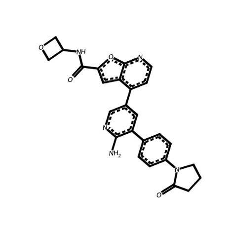 Nc1ncc(-c2ccnc3oc(C(=O)NC4COC4)cc23)cc1-c1ccc(N2CCCC2=O)cc1